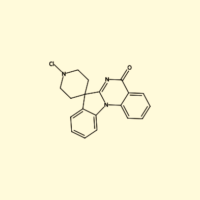 O=c1nc2n(c3ccccc13)-c1ccccc1C21CCN(Cl)CC1